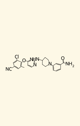 Cc1cc(C#N)cc(Cl)c1Oc1ccnc(NC2CCN(c3cccc(C(N)=O)c3)CC2)n1